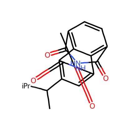 CC(C)C(C)c1cc2c(=O)[nH]c(=O)c1c1c3ccc(c(=O)[nH]c3=O)c21